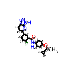 C[C@@H](Oc1ccc(NC(=O)c2cc(-c3ccc4nn[nH]c4n3)ccc2F)cc1)C1CC1